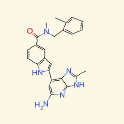 Cc1nc2c(-c3cc4cc(C(=O)N(C)Cc5ccccc5C)ccc4[nH]3)cc(N)nc2[nH]1